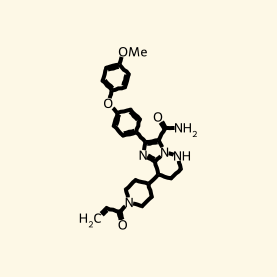 C=CC(=O)N1CCC(C2CCNn3c2nc(-c2ccc(Oc4ccc(OC)cc4)cc2)c3C(N)=O)CC1